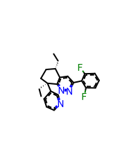 CC[C@H]1CC[C@](CC)(c2cccnc2)c2nnc(-c3c(F)cccc3F)cc21